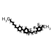 CCCCCCCC1CCC(c2ccc(C(F)(F)CCOc3ccc(CC)c(F)c3F)cc2)CC1